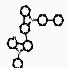 c1ccc(-c2ccc(-n3c4ccccc4c4ccc(-c5cccc6c5c5ncccc5n6-c5ccccc5)cc43)cc2)cc1